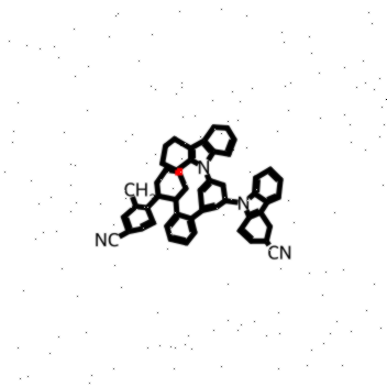 CC1C=C(C#N)C=CC1C1CCCCC1c1ccccc1C1=CC(n2c3c(c4ccccc42)CC(C#N)C=C3)CC(n2c3c(c4c2CCCC4)CCC=C3)=C1